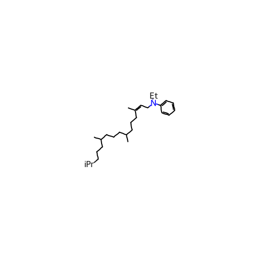 CCN(CC=C(C)CCCC(C)CCCC(C)CCCC(C)C)c1ccccc1